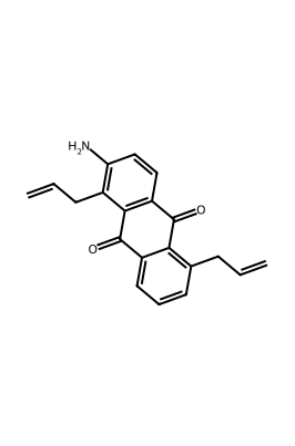 C=CCc1cccc2c1C(=O)c1ccc(N)c(CC=C)c1C2=O